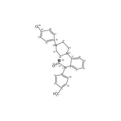 Cc1ccc(N(c2ccccc2N2CCN(c3ccc(Cl)cc3)CC2)[SH](=O)=O)cc1